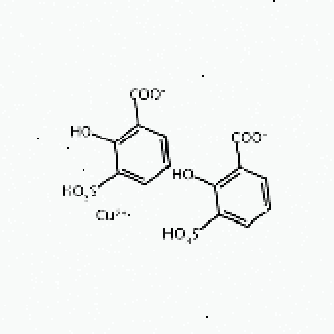 O=C([O-])c1cccc(S(=O)(=O)O)c1O.O=C([O-])c1cccc(S(=O)(=O)O)c1O.[Cu+2]